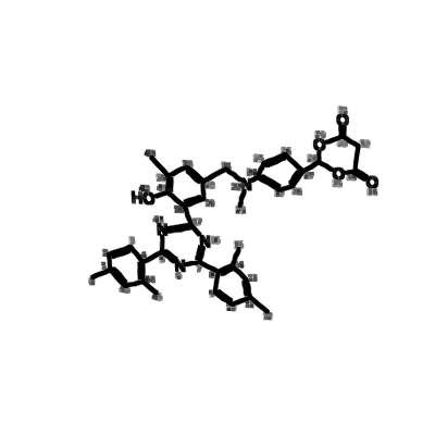 Cc1ccc(-c2nc(-c3ccc(C)cc3C)nc(-c3cc(CN(C)c4ccc(C5OC(=O)CC(=O)O5)cc4)cc(C)c3O)n2)c(C)c1